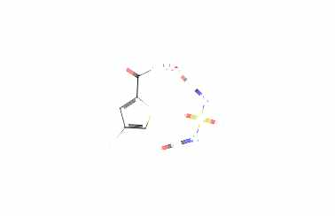 COC(=O)c1cc(F)cs1.O=C=NS(=O)(=O)N=C=O